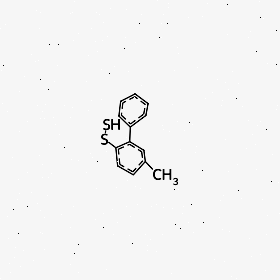 Cc1ccc(SS)c(-c2ccccc2)c1